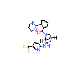 O=C(c1ccccc1-c1ncccn1)N1C[C@@H]2C[C@@H](Nc3ccc(C(F)(F)F)cn3)[C@@H]1C2